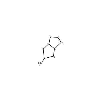 O=NC1CC2CCCC2C1